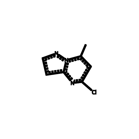 Cc1cc(Cl)nc2ccnn12